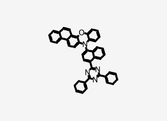 C1=CCCC(c2nc(C3=CCCC=C3)nc(-c3ccc(N4c5ccccc5Oc5c4ccc4c5ccc5ccccc54)c4ccccc34)n2)=C1